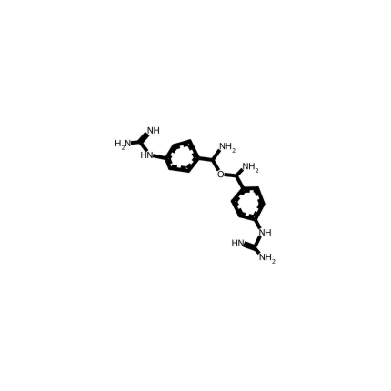 N=C(N)Nc1ccc(C(N)OC(N)c2ccc(NC(=N)N)cc2)cc1